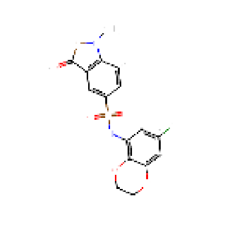 Cn1sc(=O)c2cc(S(=O)(=O)Nc3cc(Cl)cc4c3OCCO4)ccc21